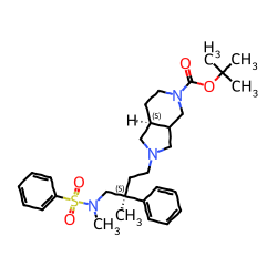 CN(C[C@@](C)(CCN1CC2CN(C(=O)OC(C)(C)C)CC[C@@H]2C1)c1ccccc1)S(=O)(=O)c1ccccc1